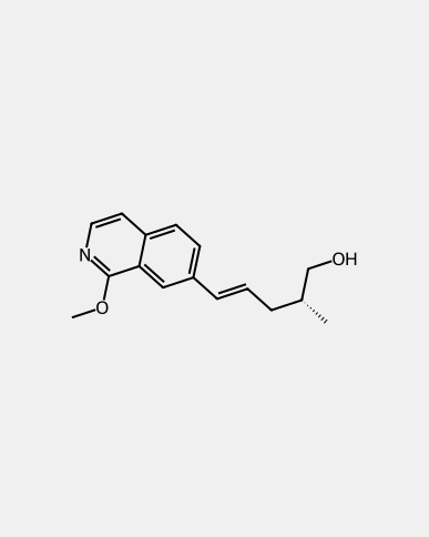 COc1nccc2ccc(/C=C/C[C@@H](C)CO)cc12